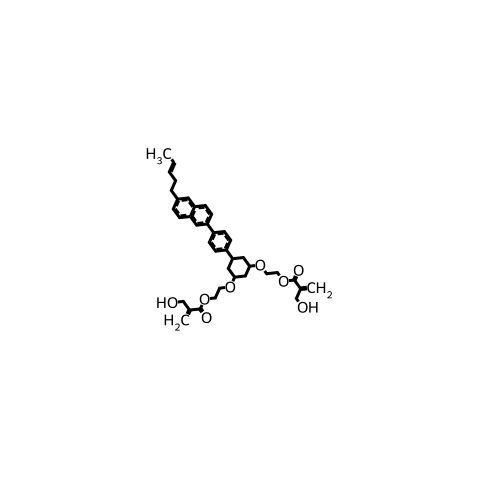 C=C(CO)C(=O)OCCOC1CC(OCCOC(=O)C(=C)CO)CC(c2ccc(-c3ccc4cc(CC/C=C/C)ccc4c3)cc2)C1